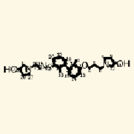 Cc1c(OCCCN2CCC(O)C2)cccc1-c1cccc(SNCCN2CCC(O)C2)c1C